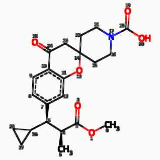 COC(=O)[C@@H](C)[C@H](c1ccc2c(c1)OC1(CCN(C(=O)O)CC1)CC2=O)C1CC1